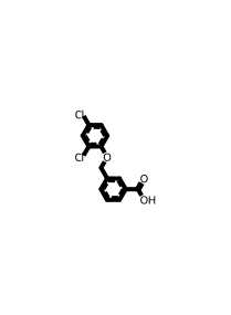 O=C(O)c1cccc(COc2ccc(Cl)cc2Cl)c1